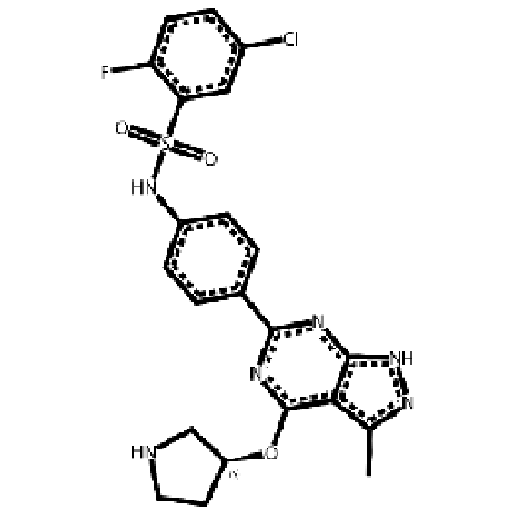 Cc1n[nH]c2nc(-c3ccc(NS(=O)(=O)c4cc(Cl)ccc4F)cc3)nc(O[C@H]3CCNC3)c12